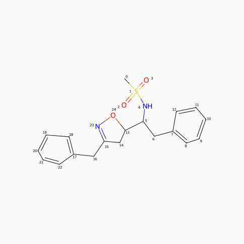 CS(=O)(=O)NC(Cc1ccccc1)C1CC(Cc2ccccc2)=NO1